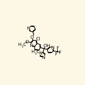 COc1nc2ccc(C(O)(c3ccc(C(F)(F)F)nc3)c3cncn3C)cc2c(Cl)c1OCc1cccnc1